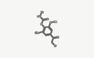 CCNC(=O)Oc1c(OCC)cc(C(=O)CBr)cc1C(C)(C)C